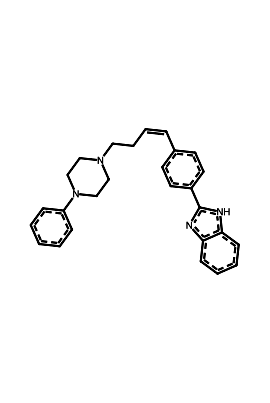 C(=C/c1ccc(-c2nc3ccccc3[nH]2)cc1)/CCN1CCN(c2ccccc2)CC1